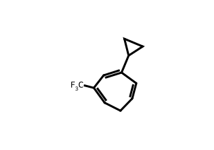 FC(F)(F)C1=CCC=CC(C2CC2)=C1